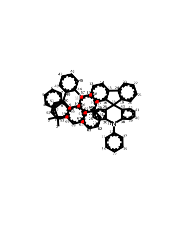 CC1(C)c2ccccc2-c2c(N(c3ccc4c(c3)C3(c5ccccc5-4)c4ccccc4N(c4ccccc4)c4ccccc43)c3ccccc3-c3ccccc3-c3cccc4ccccc34)cccc21